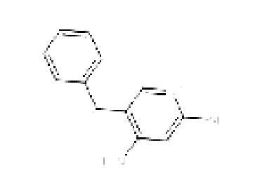 Nc1cc(N)c(Cc2ccccc2)cn1